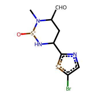 CN1C(C=O)CC(c2ncc(Br)s2)N[S+]1[O-]